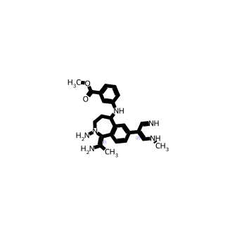 CN/C=C(\C=N)c1ccc2c(c1)C(Nc1cccc(C(=O)OC)c1)CCN(N)/C2=C(/C)N